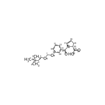 C[Si](C)(C)CCOCOc1cccc(C(=O)N2C=CC[C@H]2C(=O)O)c1